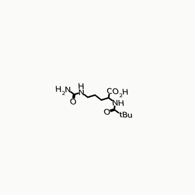 CC(C)(C)C(=O)NC(CCCNC(N)=O)C(=O)O